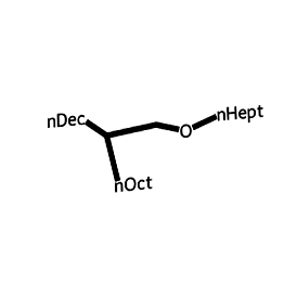 CCCCCCCCCCC(CCCCCCCC)COCCCCCCC